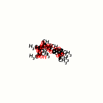 C/C=C(\C)C(=O)O[C@@H]1CC2C(CC=C3C[C@@H](OC4CC(OC)C(OC5CC(OC)C(OC6CC(OC)C(OC7CC(OC)C(O)C(C)O7)C(C)O6)C(C)O5)C(C)O4)CC[C@@]32C)C2(O)CC[C@H](C(C)=O)C12C